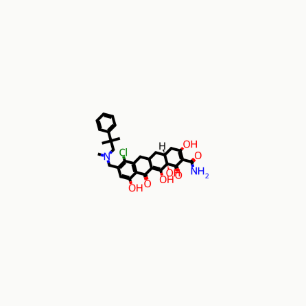 CN(Cc1cc(O)c2c(c1Cl)CC1C[C@H]3CC(O)=C(C(N)=O)C(=O)[C@@]3(O)C(O)=C1C2=O)CC(C)(C)c1ccccc1